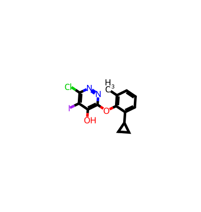 Cc1cccc(C2CC2)c1Oc1nnc(Cl)c(I)c1O